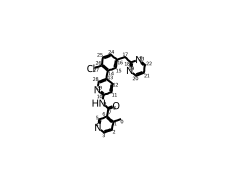 Cc1ccncc1C(=O)Nc1ccc(-c2cc(Cc3ncccn3)ccc2Cl)cn1